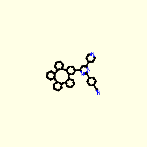 N#Cc1ccc(-c2nc(-c3ccncc3)cc(-c3ccc4c5ccccc5c5ccccc5c5ccccc5c5ccccc5c4c3)n2)cc1